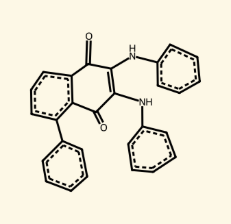 O=C1C(Nc2ccccc2)=C(Nc2ccccc2)C(=O)c2c1cccc2-c1ccccc1